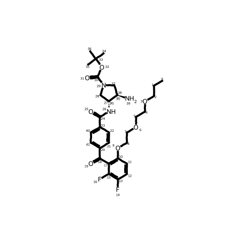 CCCOCCOCCOc1ccc(F)c(F)c1C(=O)c1ccc(C(=O)N[C@@H]2CN(C(=O)OC(C)(C)C)C[C@H]2N)cc1